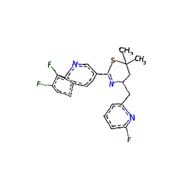 CC1(C)CC(Cc2cccc(F)n2)N=C(c2cnc3c(F)c(F)ccc3c2)S1